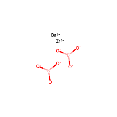 [Ba+2].[O-]B([O-])[O-].[O-]B([O-])[O-].[Zr+4]